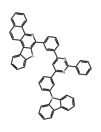 c1ccc(-c2nc(-c3cccc(-c4nc5c6ccccc6ccc5c5c4sc4ccccc45)c3)cc(-c3cccc(-n4c5ccccc5c5ccccc54)c3)n2)cc1